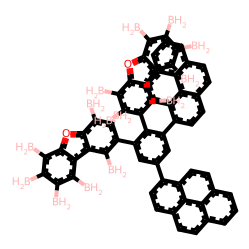 Bc1c(B)c(B)c2c(oc3c(B)c(B)c(-c4cc(-c5ccc6ccc7cccc8ccc5c6c78)cc(-c5ccc6ccc7cccc8ccc5c6c78)c4-c4c(B)c(B)c5oc6c(B)c(B)c(B)c(B)c6c5c4B)c(B)c32)c1B